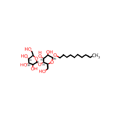 CCCCCCCCCCO[C@@H]1OC(CO)[C@@H](O[C@H]2OC(CO)[C@@H](O)[C@@H](O)C2O)[C@@H](O)C1O